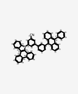 N#Cc1cc(-c2cccc(-c3c4ccccc4c(-c4ccccc4)c4ccccc34)c2)cc(-n2c3ccccc3c3c4ccccc4c4ccccc4c32)c1